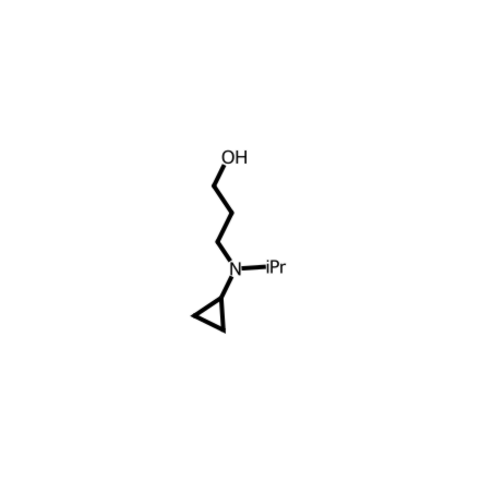 CC(C)N(CCCO)C1CC1